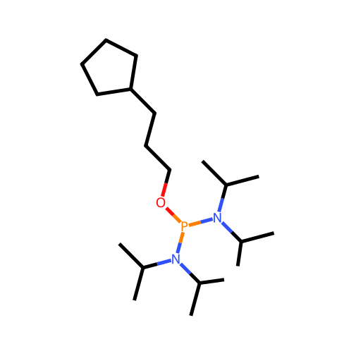 CC(C)N(C(C)C)P(OCCCC1CCCC1)N(C(C)C)C(C)C